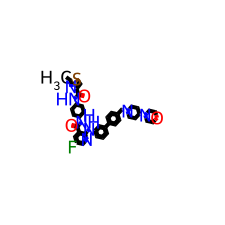 Cc1nc(C(=O)N[C@H]2CC[C@@H](NC(=O)c3cc(F)cnc3Nc3cccc(-c4ccc(CN5CCC(N6CCOCC6)CC5)cc4)c3)CC2)cs1